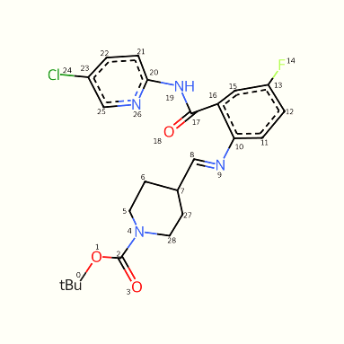 CC(C)(C)OC(=O)N1CCC(/C=N/c2ccc(F)cc2C(=O)Nc2ccc(Cl)cn2)CC1